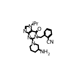 CC(C)n1cnc2nc(N3CCCC(N)C3)n(Cc3ccccc3C#N)c(=O)c21